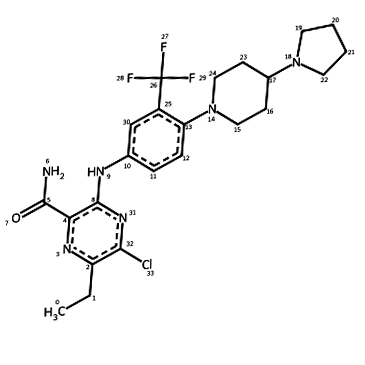 CCc1nc(C(N)=O)c(Nc2ccc(N3CCC(N4CCCC4)CC3)c(C(F)(F)F)c2)nc1Cl